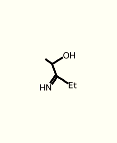 CCC(=N)C(C)O